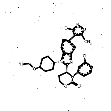 [2H]CO[C@H]1CC[C@H](n2c([C@@H]3CCOC(=O)N3c3cccc(Cl)c3)nc3cc(-c4c(C)noc4C)ccc32)CC1